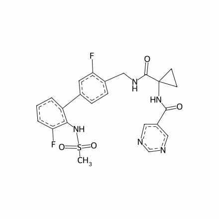 CS(=O)(=O)Nc1c(F)cccc1-c1ccc(CNC(=O)C2(NC(=O)c3cncnc3)CC2)c(F)c1